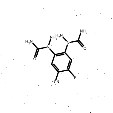 N#Cc1cc(N(N)C(N)=O)c(N(N)C(N)=O)cc1F